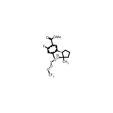 COC(=O)c1cc([C@H]2CCCC2(C)C)c(OSOOC(F)(F)F)cc1F